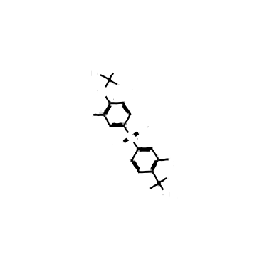 CCCC(C)(C)c1ccc(S(=O)(=O)c2ccc(OC(C)(C)CC)c(S(=O)(=O)O)c2)cc1S(=O)(=O)O